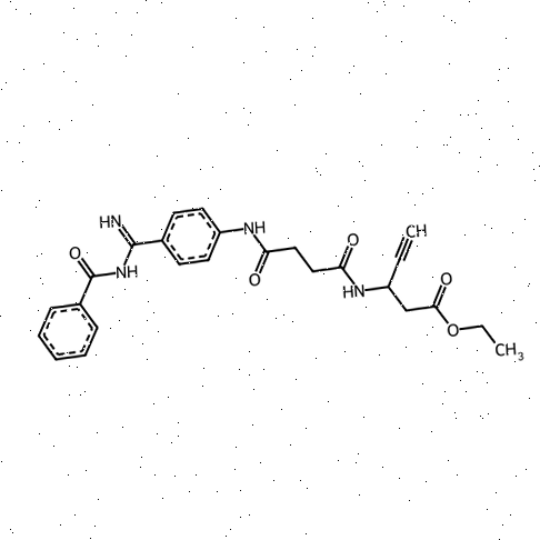 C#CC(CC(=O)OCC)NC(=O)CCC(=O)Nc1ccc(C(=N)NC(=O)c2ccccc2)cc1